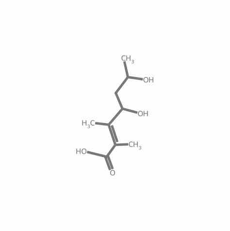 CC(C(=O)O)=C(C)C(O)CC(C)O